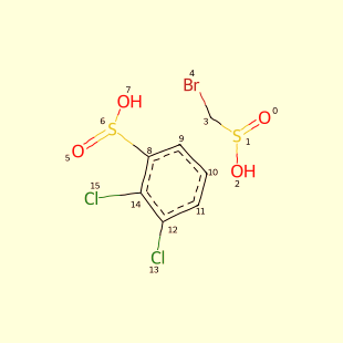 O=S(O)CBr.O=S(O)c1cccc(Cl)c1Cl